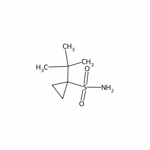 CC(C)(C)C1(S(N)(=O)=O)CC1